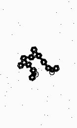 c1ccc2c(c1)oc1ccc(-c3ccc(-c4ccc5c6ccccc6c6cc(-c7cccc8c9ccccc9c9cc(-c%10ccc%11oc%12ccccc%12c%11c%10)ccc9c78)ccc6c5c4)cc3)cc12